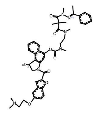 CC[C@@H]1CN(C(=O)c2cc3cc(OCCN(C)C)ccc3o2)c2cc(OC(=O)N(C)CCN(C)C(=O)C(C)(C)C(=O)N(C)/N=C(\C)c3ccccc3)c3ccccc3c21